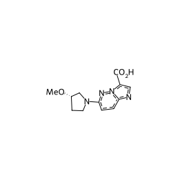 CO[C@H]1CCN(c2ccc3ncc(C(=O)O)n3n2)C1